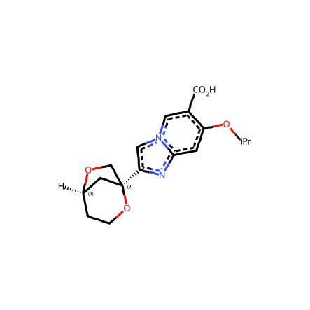 CC(C)Oc1cc2nc([C@]34CO[C@H](CCO3)C4)cn2cc1C(=O)O